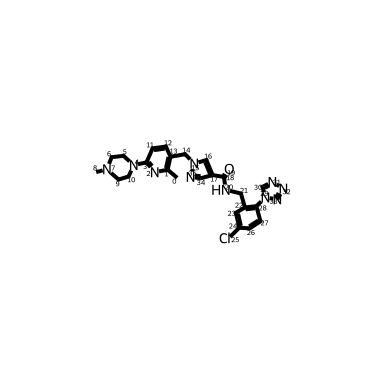 Cc1nc(N2CCN(C)CC2)ccc1Cn1cc(C(=O)NCc2cc(Cl)ccc2-n2cnnn2)cn1